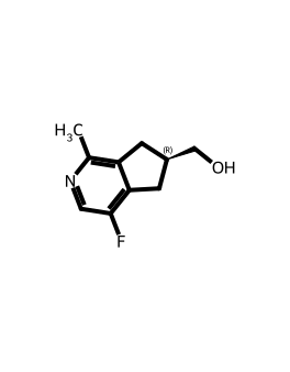 Cc1ncc(F)c2c1C[C@@H](CO)C2